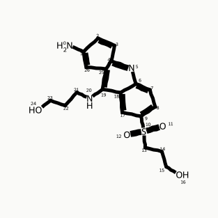 Nc1ccc2nc3ccc(S(=O)(=O)CCCO)cc3c(NCCCO)c2c1